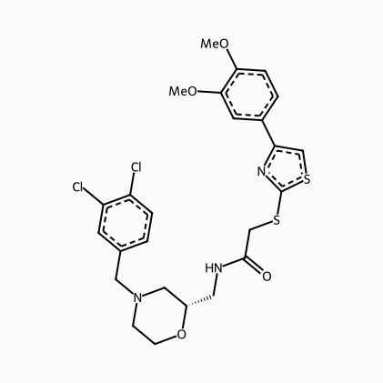 COc1ccc(-c2csc(SCC(=O)NC[C@H]3CN(Cc4ccc(Cl)c(Cl)c4)CCO3)n2)cc1OC